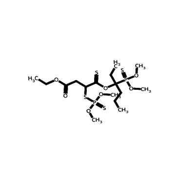 CCCC(CC)(OC(=S)C(CC(=O)OCC)SP(=S)(OC)OC)P(=S)(OC)OC